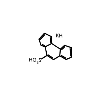 O=S(=O)(O)c1cc2ccccc2c2ccccc12.[KH]